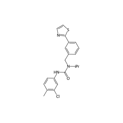 Cc1ccc(NC(=O)N(Cc2cccc(-c3nccs3)c2)C(C)C)cc1Cl